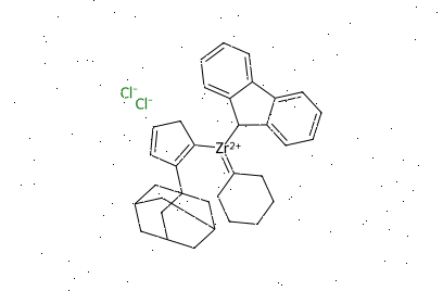 C1=CC(C23CC4CC(CC(C4)C2)C3)=[C]([Zr+2](=[C]2CCCCC2)[CH]2c3ccccc3-c3ccccc32)C1.[Cl-].[Cl-]